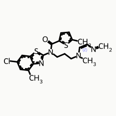 C=N/C=C\N(C)CCCN(C(=O)c1ccc(C)s1)c1nc2c(C)cc(Cl)cc2s1